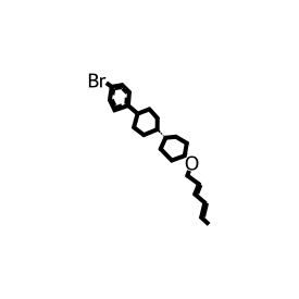 C/C=C/C=C/CO[C@H]1CC[C@H](C2CCC(c3ccc(Br)cc3)CC2)CC1